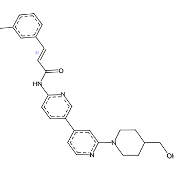 O=C(/C=C/c1cccc(F)c1)Nc1ccc(-c2ccnc(N3CCC(CO)CC3)c2)cn1